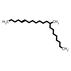 [CH2]CCCC=CCCCCCCC(C)CCCCCCC[CH2]